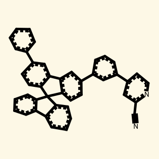 N#Cc1cc(-c2cccc(-c3ccc4c(c3)-c3cc(-c5ccccc5)ccc3C43c4ccccc4-c4ccccc43)c2)ccn1